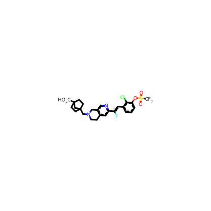 O=C(O)C12CCC(CN3CCc4cc(/C(F)=C/c5cccc(OS(=O)(=O)C(F)(F)F)c5Cl)ncc4C3)(CC1)C2